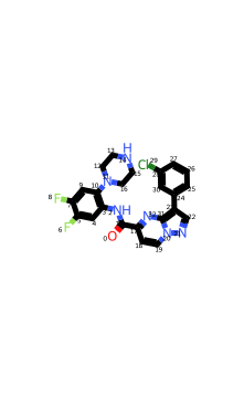 O=C(Nc1cc(F)c(F)cc1N1CCNCC1)c1ccn2ncc(-c3cccc(Cl)c3)c2n1